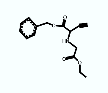 C#CC(NCC(=O)OCC)C(=O)OCc1ccccc1